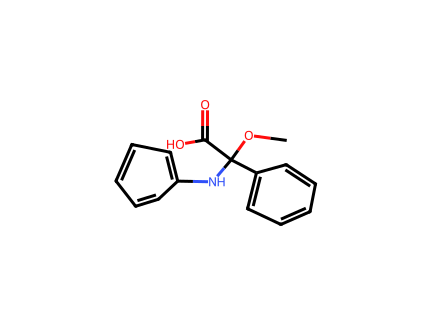 COC(Nc1ccccc1)(C(=O)O)c1ccccc1